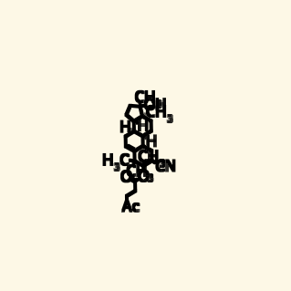 CC(=O)CCC(=O)OC1=C(C#N)C[C@@]2(C)C(=CC[C@@H]3[C@@H]2CC[C@@]2(C)[C@H]3CC[C@]2(C)O)C1(C)C